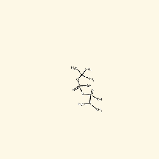 CC(C)P(=O)(O)OP(=O)(O)OC(C)(C)C